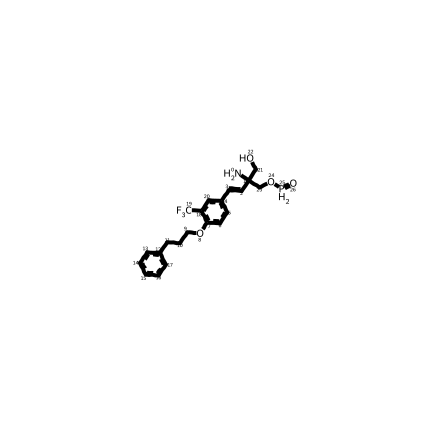 NC(C=Cc1ccc(OCCCc2ccccc2)c(C(F)(F)F)c1)(CO)CO[PH2]=O